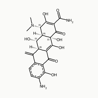 C=C1c2ccc(N)c(O)c2C(=O)C2=C(O)[C@]3(O)C(=O)C(C(N)=O)=C(O)[C@@H](N(C)C)[C@@H]3[C@@H](O)[C@H]12